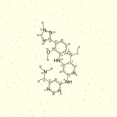 CCC(=O)c1cnc(Nc2cc(C(C)N(C)C)ncn2)cc1Nc1cccc(-c2ncn(C)n2)c1OC